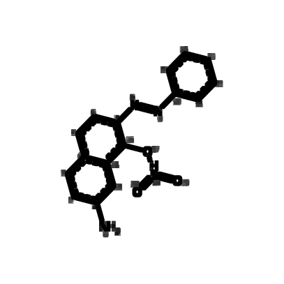 Nc1ccc2ccc(N=Nc3ccccc3)c(O[SH](=O)=O)c2c1